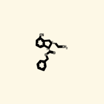 C=CC[C@H]1Cc2c(C#N)cccc2[C@H]1C(=O)OCc1ccccc1